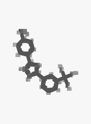 Nc1ccc(-c2nc(-c3cccc(C(F)(F)F)c3)no2)cc1